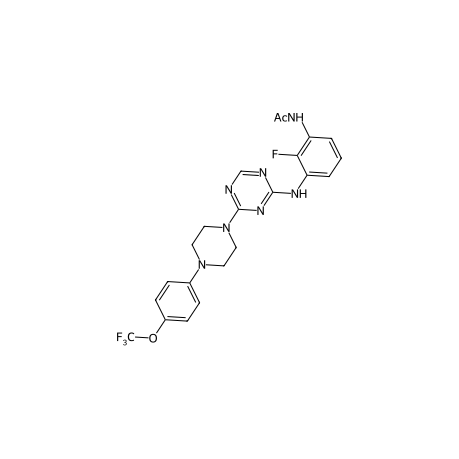 CC(=O)Nc1cccc(Nc2ncnc(N3CCN(c4ccc(OC(F)(F)F)cc4)CC3)n2)c1F